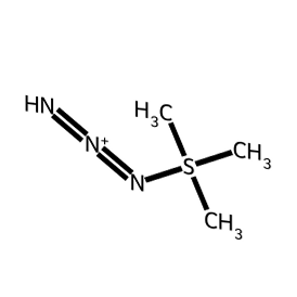 CS(C)(C)N=[N+]=N